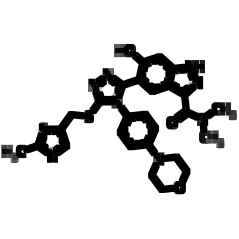 Cc1ncc(CSc2nnc(-c3cc4c(C(=O)N(C)C)n[nH]c4cc3O)n2-c2ccc(N3CCOCC3)cc2)s1